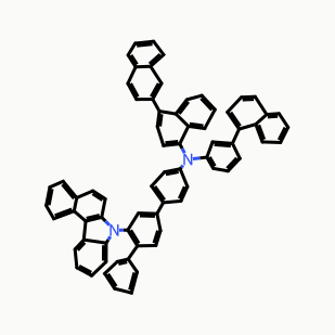 c1ccc(-c2ccc(-c3ccc(N(c4cccc(-c5cccc6ccccc56)c4)c4ccc(-c5ccc6ccccc6c5)c5ccccc45)cc3)cc2-n2c3ccccc3c3c4ccccc4ccc32)cc1